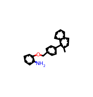 Cc1ccc2ccccc2c1-c1ccc(COc2ccccc2N)cc1